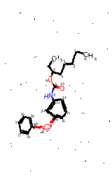 CCCCCC(CC)OC(=O)Nc1cccc(Oc2ccccc2)c1